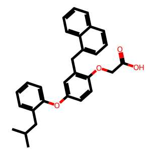 CC(C)Cc1ccccc1Oc1ccc(OCC(=O)O)c(Cc2cccc3ccccc23)c1